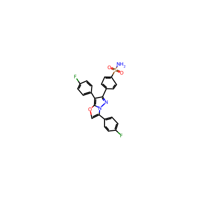 NS(=O)(=O)c1ccc(-c2nn3c(-c4ccc(F)cc4)coc3c2-c2ccc(F)cc2)cc1